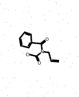 C=CCN(C(=O)Cl)C(=O)c1ccccc1